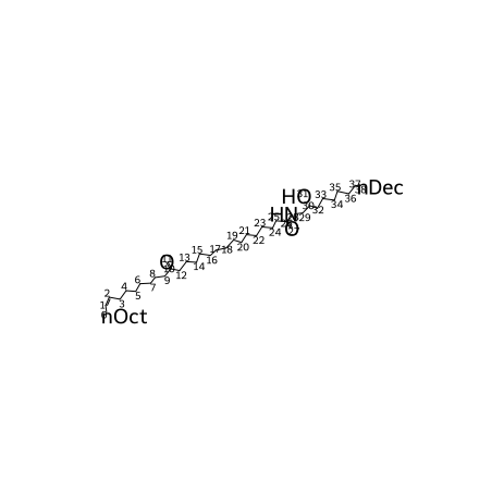 CCCCCCCC/C=C\CCCCCCCC(=O)CCCCCCCCCCCCCCC(=O)NC[C@H](O)CCCCCCCCCCCCCCCC